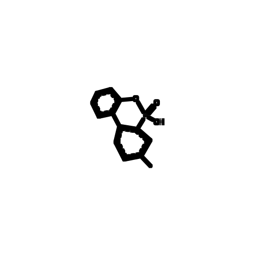 Cc1ccc2c(c1)P(=O)(O)Oc1ccccc1-2